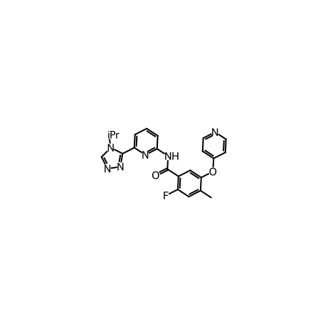 Cc1cc(F)c(C(=O)Nc2cccc(-c3nncn3C(C)C)n2)cc1Oc1ccncc1